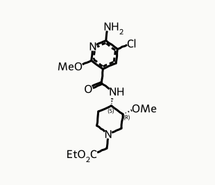 CCOC(=O)CN1CC[C@H](NC(=O)c2cc(Cl)c(N)nc2OC)[C@H](OC)C1